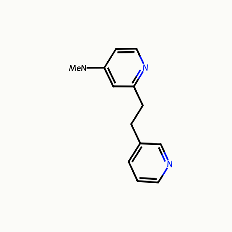 CNc1ccnc(CCc2cccnc2)c1